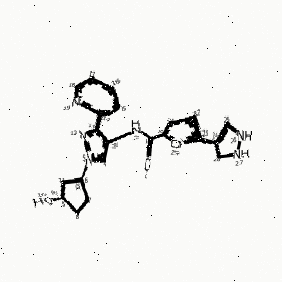 O=C(Nc1cn([C@H]2CC[C@@H](O)C2)nc1-c1ccccn1)c1ccc(C2=CNNC2)o1